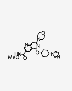 CONC(=O)c1cnc2cc(N3CCOCC3)nc(O[C@H]3CC[C@@H](n4ccnc4)CC3)c2c1